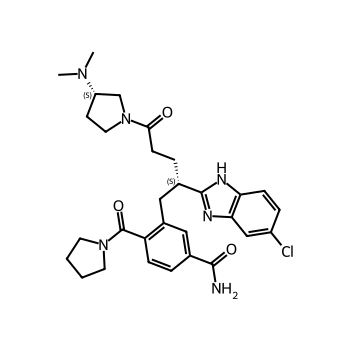 CN(C)[C@H]1CCN(C(=O)CC[C@@H](Cc2cc(C(N)=O)ccc2C(=O)N2CCCC2)c2nc3cc(Cl)ccc3[nH]2)C1